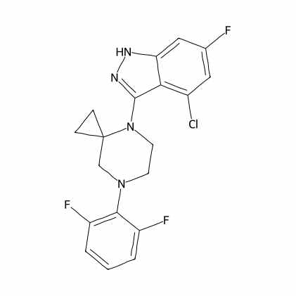 Fc1cc(Cl)c2c(N3CCN(c4c(F)cccc4F)CC34CC4)n[nH]c2c1